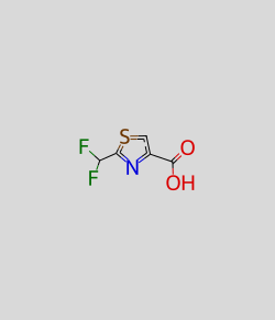 O=C(O)c1csc(C(F)F)n1